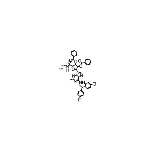 CCNC(=O)C1OC(n2cnc3c(NCC(c4ccc(Cl)cc4)c4ccc(Cl)cc4)nc(I)nc32)C(OC(=O)c2ccccc2)C1OC(=O)c1ccccc1